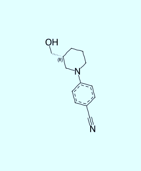 N#Cc1ccc(N2CCC[C@@H](CO)C2)cc1